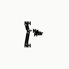 Br.N=[N+]=N.[NaH]